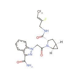 NC(=O)c1nn(CC(=O)N2[C@@H]3C[C@@H]3C[C@H]2C(=O)NC/C(F)=C/C(F)(F)F)c2ccccc12